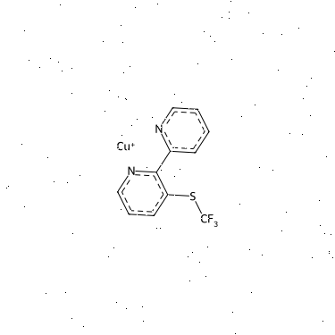 FC(F)(F)Sc1cccnc1-c1ccccn1.[Cu+]